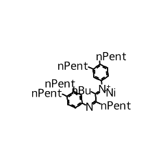 CCCCCC(=Nc1ccc(CCCCC)c(CCCCC)c1)C(CCCC)=[N+]([Ni])c1ccc(CCCCC)c(CCCCC)c1